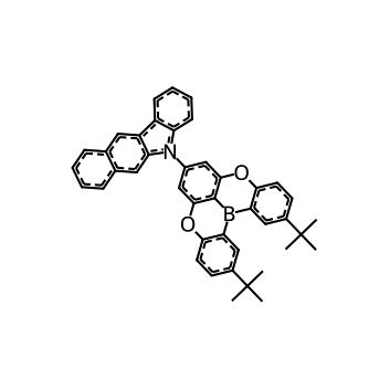 CC(C)(C)c1ccc2c(c1)B1c3cc(C(C)(C)C)ccc3Oc3cc(-n4c5ccccc5c5cc6ccccc6cc54)cc(c31)O2